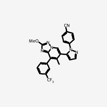 COc1nc2c(-c3cccc(C(F)(F)F)c3)c(C)c(-c3ccnn3-c3ccc(C#N)cc3)cn2n1